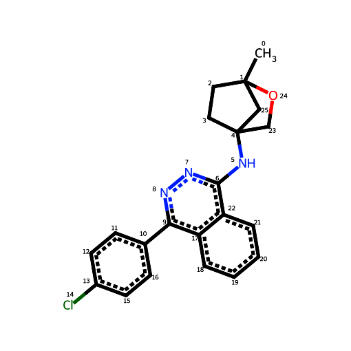 CC12CCC(Nc3nnc(-c4ccc(Cl)cc4)c4ccccc34)(CO1)C2